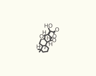 CC1(C)CCC[C@]2(C)[C@@H]1CC[C@@]13O[C@@H]1C1=C(CO)C(=O)O[C@]14O[C@@H]4[C@@H]23